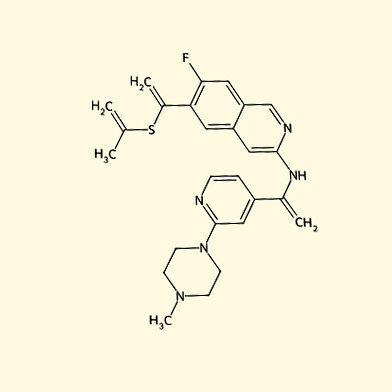 C=C(C)SC(=C)c1cc2cc(NC(=C)c3ccnc(N4CCN(C)CC4)c3)ncc2cc1F